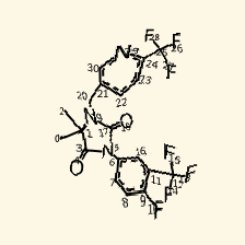 CC1(C)C(=O)N(c2ccc(F)c(C(F)(F)F)c2)C(=O)N1Cc1ccc(C(F)(F)F)nc1